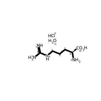 Cl.N=C(N)NCCC[C@H](N)C(=O)O.O